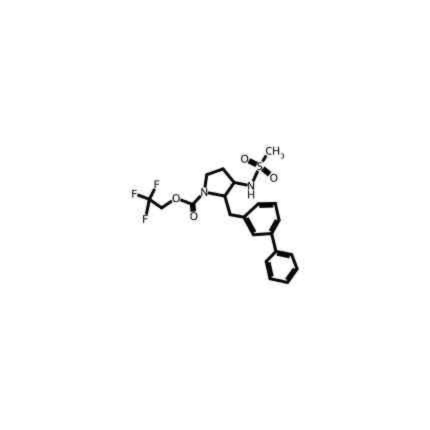 CS(=O)(=O)NC1CCN(C(=O)OCC(F)(F)F)C1Cc1cccc(-c2ccccc2)c1